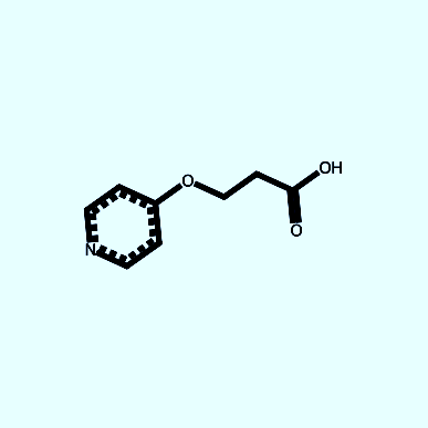 O=C(O)CCOc1ccncc1